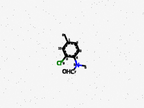 Cc1ccc(N(C)C=O)c(Cl)c1